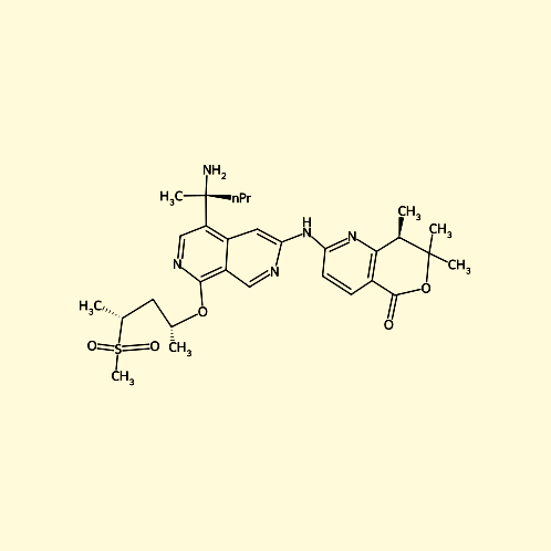 CCC[C@@](C)(N)c1cnc(O[C@H](C)C[C@@H](C)S(C)(=O)=O)c2cnc(Nc3ccc4c(n3)[C@@H](C)C(C)(C)OC4=O)cc12